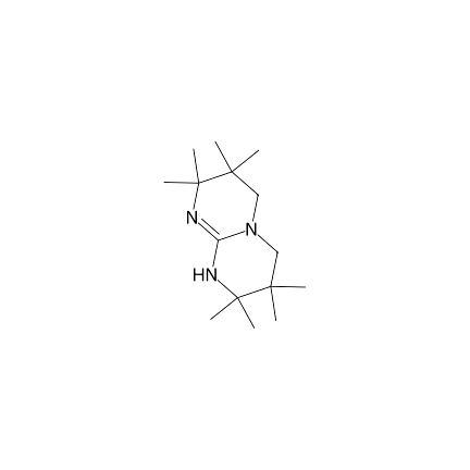 CC1(C)CN2CC(C)(C)C(C)(C)NC2=NC1(C)C